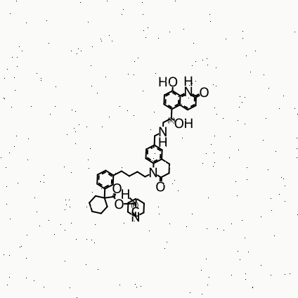 O=C1CCc2cc(CNC[C@H](O)c3ccc(O)c4[nH]c(=O)ccc34)ccc2N1CCCCc1cccc(C2(C(=O)O[C@H]3CN4CCC3CC4)CCCCC2)c1